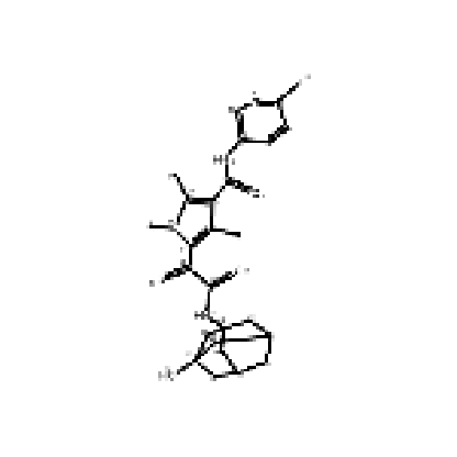 Cc1c(C(=O)Nc2ccc(F)nc2)c(C)n(C)c1C(=O)C(=O)NC12CC3CC(CC(O)(C3)C1)C2